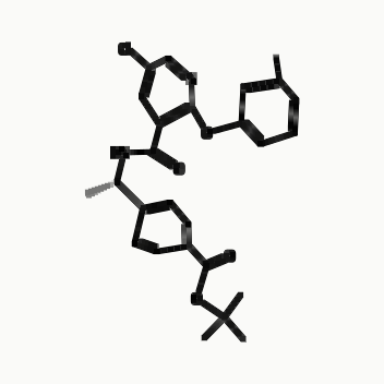 Cc1cccc(Oc2ncc(Cl)cc2C(=O)N[C@@H](C)c2ccc(C(=O)OC(C)(C)C)cc2)c1